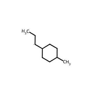 CC[CH]C1CCC(C)CC1